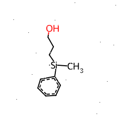 C[Si](CCCO)c1ccccc1